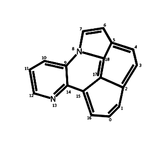 c1cc2ccc3ccn4c5cccnc5c(c1)c2c34